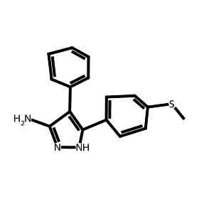 CSc1ccc(-c2[nH]nc(N)c2-c2ccccc2)cc1